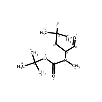 CN(C(=O)OC(C)(C)C)C(C=O)CC(C)(C)F